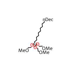 CCCCCCCCCCCCCCCCCCCC[Si](OCCOC)(OCCOC)OCCOC